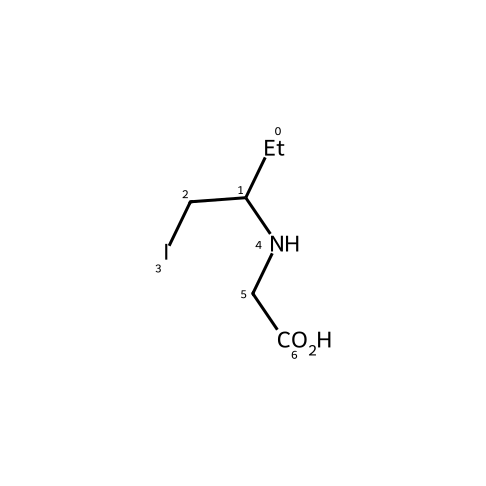 CCC(CI)NCC(=O)O